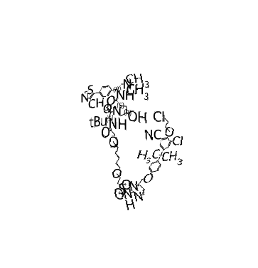 Cc1ncsc1-c1ccc([C@H](CN(C)C)NC(=O)[C@@H]2C[C@@H](O)CN2C(=O)[C@@H](NC(=O)COCCCCCOCCS(=O)(=O)Nc2nccc(COc3ccc(C(C)(C)c4cc(Cl)c(OCCCl)c(C#N)c4)cc3)n2)C(C)(C)C)cc1